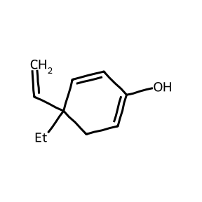 C=CC1(CC)C=CC(O)=CC1